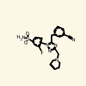 N#Cc1cccc(Cc2nc(CN3CC=CCC3)nn2-c2ccc(S(N)(=O)=O)cc2F)c1